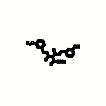 COC(=O)C(C(=O)/C=C/c1cccc(C)c1)C(=O)/C=C/c1cccc(O)c1